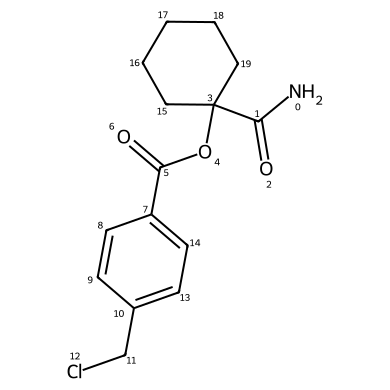 NC(=O)C1(OC(=O)c2ccc(CCl)cc2)CCCCC1